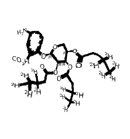 [2H]C([2H])([2H])C([2H])([2H])CC(=O)O[C@H]1[C@@H](Oc2ccc(N)cc2C(=O)O)OC[C@@H](OC(=O)CC([2H])([2H])C([2H])([2H])[2H])[C@H]1OC(=O)CC([2H])([2H])C([2H])([2H])[2H]